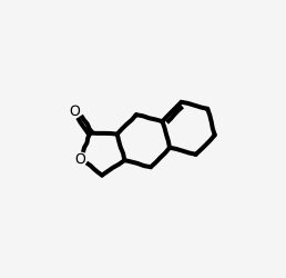 O=C1OCC2CC3CCCC=C3CC12